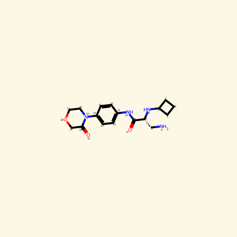 NC[C@@H](NC1CCC1)C(=O)Nc1ccc(N2CCOCC2=O)cc1